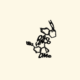 COc1ccc(C(C)(C)C)cc1C1(C(=O)NS(=O)(=O)c2cccc3c2CCCN3)CC1